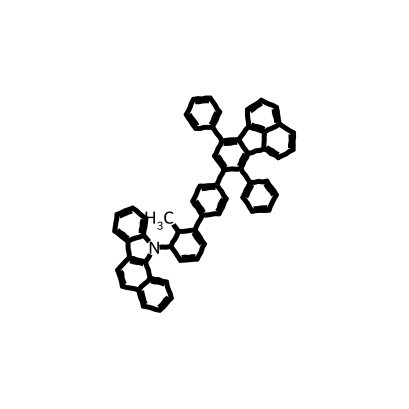 CC1C(c2ccc(-c3cc(-c4ccccc4)c4c(c3-c3ccccc3)-c3cccc5cccc-4c35)cc2)=CC=CC1n1c2ccccc2c2ccc3ccccc3c21